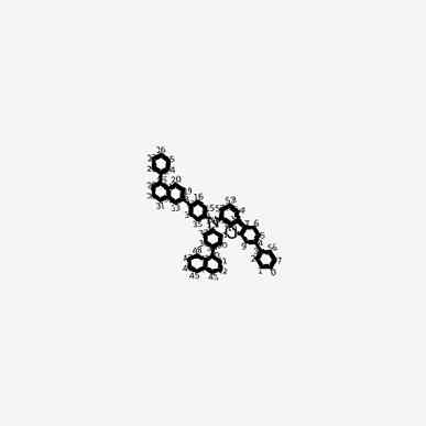 c1ccc(-c2ccc3c(c2)oc2c(N(c4ccc(-c5ccc6c(-c7ccccc7)cccc6c5)cc4)c4ccc(-c5cccc6ccccc56)cc4)cccc23)cc1